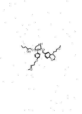 CCC[C@@H](O)CO[C@@H]1CNC[C@H](OCc2ccc3c(c2)N(CCCOC)CCO3)[C@H]1c1ccc(OCCCOC)cc1